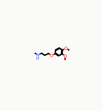 CNCCCOc1ccc(OC)c(OC)c1